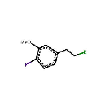 COc1cc(CCBr)ccc1I